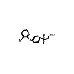 COCC(F)(F)c1ccc(Oc2ncccc2Br)cn1